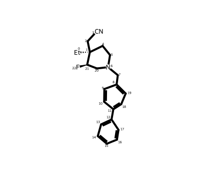 CC[C@]1(CC#N)CCN(Cc2ccc(-c3ccccc3)cc2)C[C@H]1F